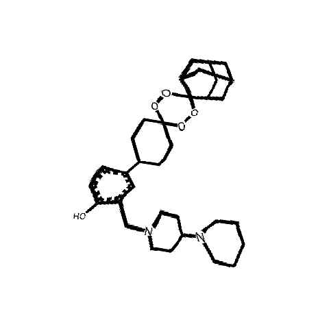 Oc1ccc(C2CCC3(CC2)OOC2(OO3)C3CC4CC(C3)CC2C4)cc1CN1CCC(N2CCCCC2)CC1